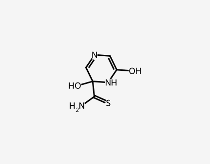 NC(=S)C1(O)C=NC=C(O)N1